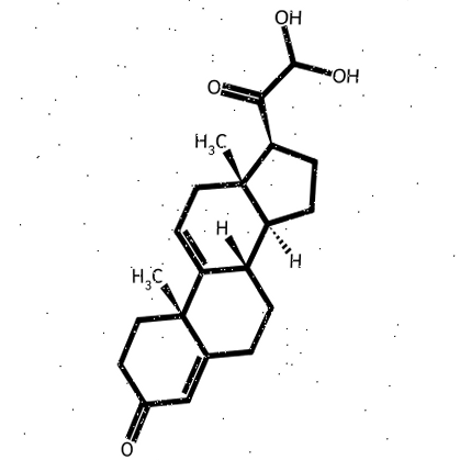 C[C@]12CCC(=O)C=C1CC[C@@H]1C2=CC[C@]2(C)[C@@H](C(=O)C(O)O)CC[C@@H]12